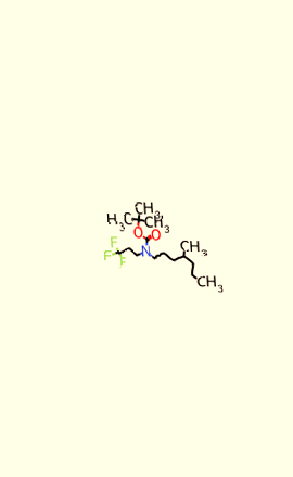 CCCC(C)CCCN(CCC(F)(F)F)C(=O)OC(C)(C)C